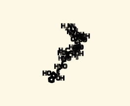 CC(C)(COP(=O)(O)OP(=O)(O)OC[C@H]1O[C@@H](n2cnc3c(N)ncnc32)[C@H](O)[C@@H]1OP(=O)(O)O)[C@@H](O)C(=O)NCCC(=O)NCCSc1cc(O)c2ccccc2c1O